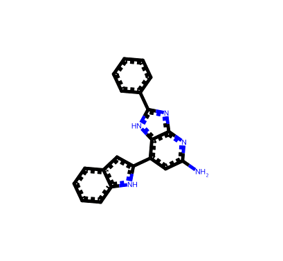 Nc1cc(-c2cc3ccccc3[nH]2)c2[nH]c(-c3ccccc3)nc2n1